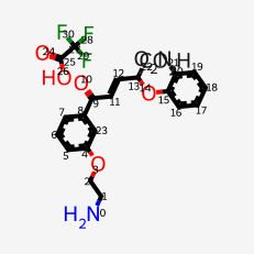 NCCOc1cccc(C(=O)C=CC(Oc2ccccc2[N+](=O)[O-])C(=O)O)c1.O=C(O)C(F)(F)F